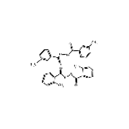 Cc1cccc(C(=O)OOC(=O)c2cccc(C)c2)c1.Cc1ccccc1C(=O)OOC(=O)c1ccccc1C